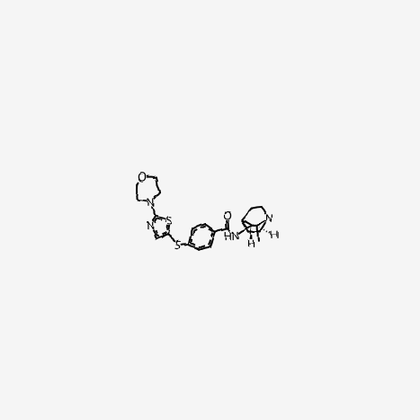 C[C@H]1[C@H](NC(=O)c2ccc(Sc3cnc(N4CCOCC4)s3)cc2)C2CCN1CC2